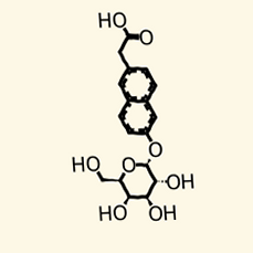 O=C(O)Cc1ccc2cc(O[C@H]3O[C@H](CO)[C@H](O)[C@H](O)[C@H]3O)ccc2c1